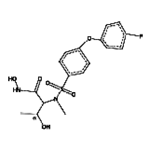 C[C@@H](O)C(C(=O)NO)N(C)S(=O)(=O)c1ccc(Oc2ccc(F)cc2)cc1